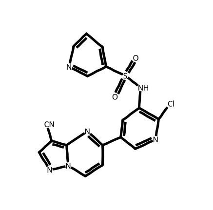 N#Cc1cnn2ccc(-c3cnc(Cl)c(NS(=O)(=O)c4cccnc4)c3)nc12